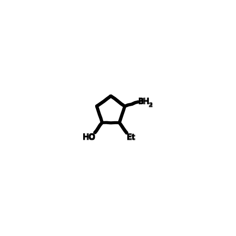 BC1CCC(O)C1CC